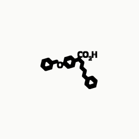 O=C(O)C(CCCCc1ccccc1)c1ccc(OCc2ccccc2)cc1